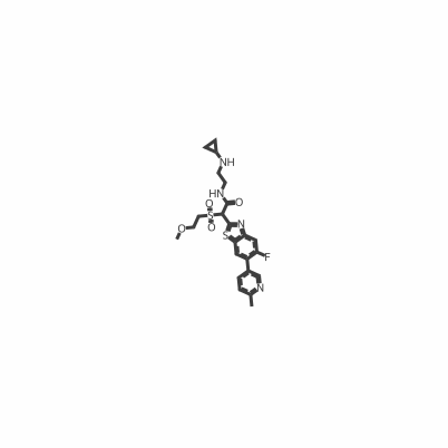 COCCS(=O)(=O)C(C(=O)NCCNC1CC1)c1nc2cc(F)c(-c3ccc(C)nc3)cc2s1